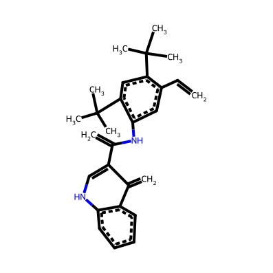 C=Cc1cc(NC(=C)C2=CNc3ccccc3C2=C)c(C(C)(C)C)cc1C(C)(C)C